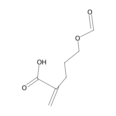 C=C(CCCOC=O)C(=O)O